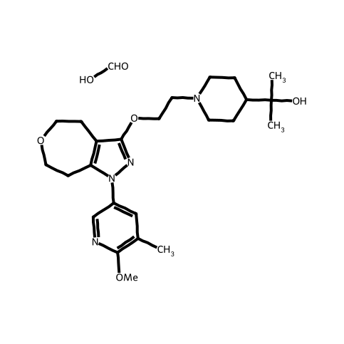 COc1ncc(-n2nc(OCCN3CCC(C(C)(C)O)CC3)c3c2CCOCC3)cc1C.O=CO